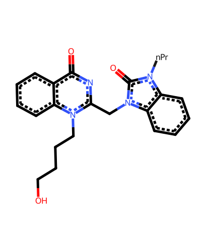 CCCn1c(=O)n(Cc2nc(=O)c3ccccc3n2CCCCO)c2ccccc21